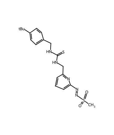 CC(C)(C)c1ccc(CNC(=S)NCc2cccc(N=NS(C)(=O)=O)n2)cc1